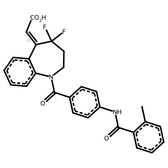 Cc1ccccc1C(=O)Nc1ccc(C(=O)N2CCC(F)(F)/C(=C\C(=O)O)c3ccccc32)cc1